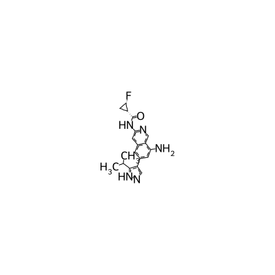 CC(C)c1[nH]ncc1-c1cc(N)c2cnc(NC(=O)[C@@H]3C[C@@H]3F)cc2c1